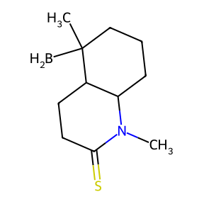 BC1(C)CCCC2C1CCC(=S)N2C